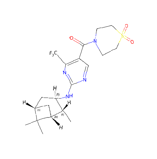 C[C@@H]1[C@H]2C[C@@H](C[C@H]1Nc1ncc(C(=O)N3CCS(=O)(=O)CC3)c(C(F)(F)F)n1)C2(C)C